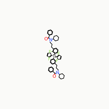 O=C(c1ccccc1)N(CCCc1ccc(F)[c]([Ti]([C]2=CC=CC2)([C]2=CC=CC2)[c]2c(F)ccc(CCCN(C(=O)c3ccccc3)C3CCCCC3)c2F)c1F)C1CCCCC1